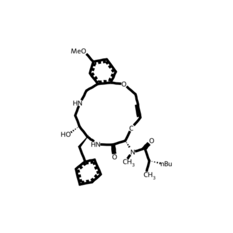 CCCC[C@H](C)C(=O)N(C)[C@H]1CC=CCOc2ccc(OC)cc2CNC[C@@H](O)[C@H](Cc2ccccc2)NC1=O